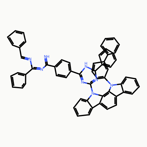 N=C(/N=C(\N=C\c1ccccc1)c1ccccc1)c1ccc(C2=NC(n3c4ccccc4c4ccc5c6ccccc6n(-c6cccc(-c7ccccc7)c6)c5c43)=NC(c3ccccc3)N2)cc1